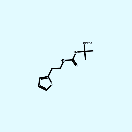 CCCCCC(C)(C)NC(=S)NCCc1cccs1